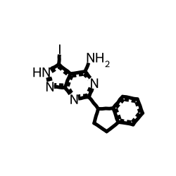 Nc1nc(C2CCc3ccccc32)nc2n[nH]c(I)c12